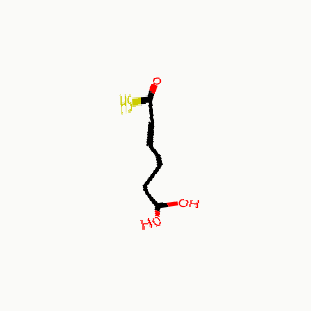 O=C(S)/C=C/CCC(O)O